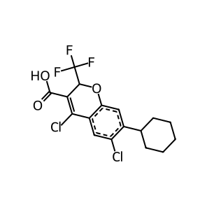 O=C(O)C1=C(Cl)c2cc(Cl)c(C3CCCCC3)cc2OC1C(F)(F)F